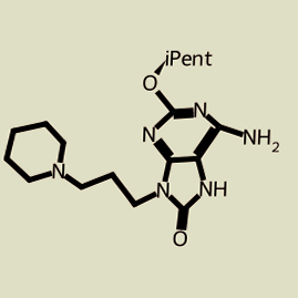 CCC[C@H](C)Oc1nc(N)c2[nH]c(=O)n(CCCN3CCCCC3)c2n1